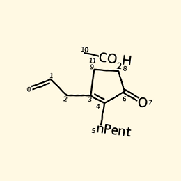 C=CCC1=C(CCCCC)C(=O)CC1.CC(=O)O